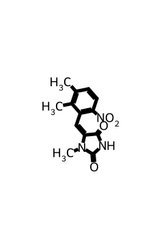 Cc1ccc([N+](=O)[O-])c(C=C2C(=O)NC(=O)N2C)c1C